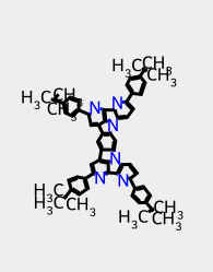 CC(C)(C)c1ccc(-c2ccc3c(n2)c2nc(-c4ccc(C(C)(C)C)cc4)cc4c5cc6c7cc(-c8ccc(C(C)(C)C)cc8)nc8c9nc(-c%10ccc(C(C)(C)C)cc%10)ccc9n(c6cc5n3c42)c78)cc1